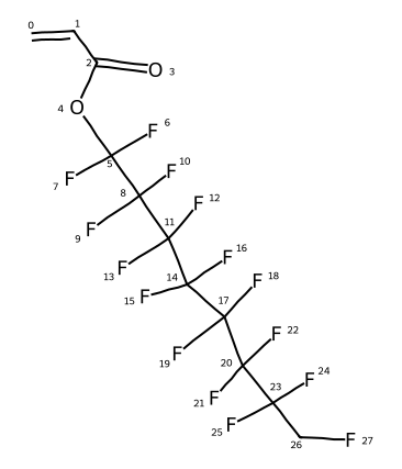 C=CC(=O)OC(F)(F)C(F)(F)C(F)(F)C(F)(F)C(F)(F)C(F)(F)C(F)(F)CF